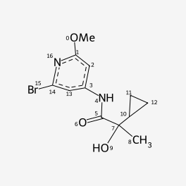 COc1cc(NC(=O)C(C)(O)C2CC2)cc(Br)n1